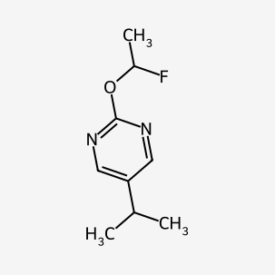 CC(F)Oc1ncc(C(C)C)cn1